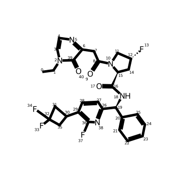 CCn1ccnc(CC(=O)N2C[C@H](F)C[C@H]2C(=O)N[C@@H](c2ccccc2)c2ccc(C3CC(F)(F)C3)c(F)n2)c1=O